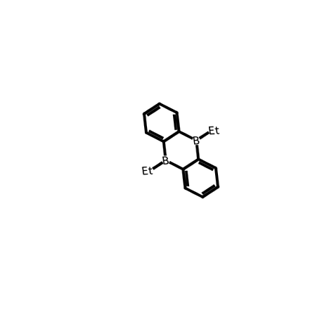 CCB1c2ccccc2B(CC)c2ccccc21